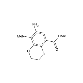 CNc1c(N)cc(C(=O)OC)c2c1OCCO2